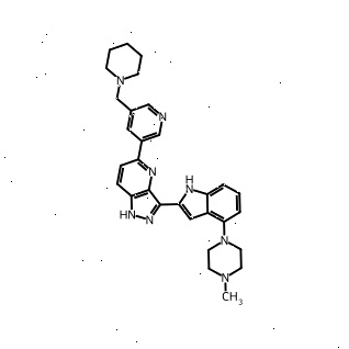 CN1CCN(c2cccc3[nH]c(-c4n[nH]c5ccc(-c6cncc(CN7CCCCC7)c6)nc45)cc23)CC1